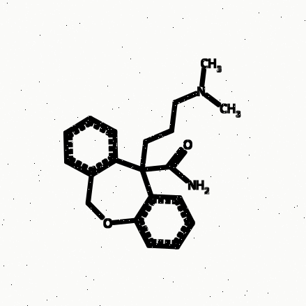 CN(C)CCCC1(C(N)=O)c2ccccc2COc2ccccc21